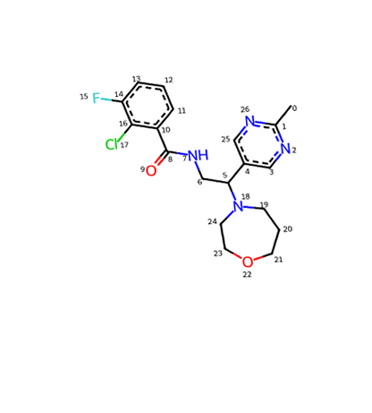 Cc1ncc(C(CNC(=O)c2cccc(F)c2Cl)N2CCCOCC2)cn1